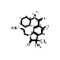 CC(=O)NCCN1C(=O)C(C)(C)c2cc(Cl)c(C(=O)N(C(C)C)C3CCCCC3)cc21